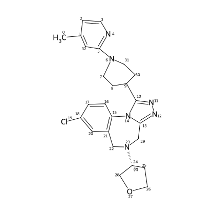 Cc1ccnc(N2CCC(c3nnc4n3-c3ccc(Cl)cc3CN([C@@H]3CCOC3)C4)CC2)c1